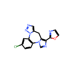 Clc1ccc2c(c1)-n1nncc1Cc1c(-c3ncco3)ncn1-2